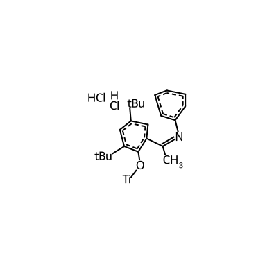 CC(=Nc1ccccc1)c1cc(C(C)(C)C)cc(C(C)(C)C)c1[O][Ti].Cl.Cl